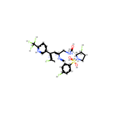 C=N/C(=C\C(=C(/C)F)c1ccc(C(F)(F)F)nc1)CNC(=O)[C@@H]1[C@@H](F)CCN1S(=O)(=O)c1ccc(F)cc1